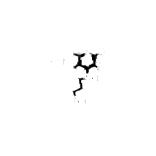 Cl.NCCCNc1c(Cl)c(Cl)nc(Cl)c1Cl